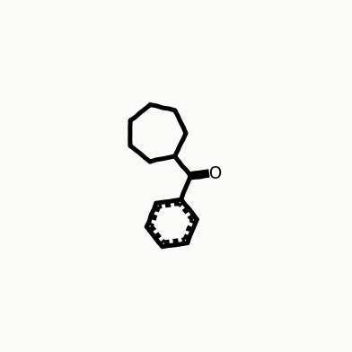 O=C(c1ccccc1)C1CCCCCC1